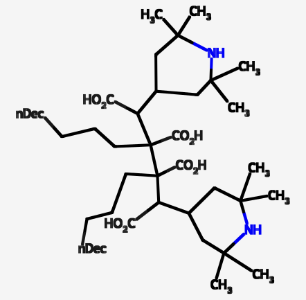 CCCCCCCCCCCCCC(C(=O)O)(C(C(=O)O)C1CC(C)(C)NC(C)(C)C1)C(CCCCCCCCCCCCC)(C(=O)O)C(C(=O)O)C1CC(C)(C)NC(C)(C)C1